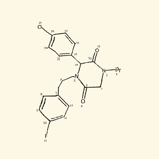 CC(C)N1CC(=O)N(Cc2ccc(F)cc2)C(c2ccc(Cl)cc2)C1=O